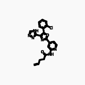 C=CCCC(=O)Nc1cc(-c2nc(-c3nnc[nH]3)c(-c3ccccc3Cl)o2)ccn1